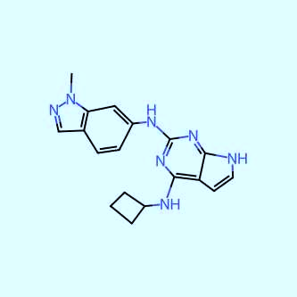 Cn1ncc2ccc(Nc3nc(NC4CCC4)c4cc[nH]c4n3)cc21